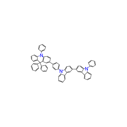 c1ccc(N2c3ccccc3C(c3ccccc3)(c3ccccc3)c3cc(-c4ccc(-n5c6ccccc6c6cc(-c7ccc8c(c7)c7ccccc7n8-c7ccccc7)ccc65)cc4)ccc32)cc1